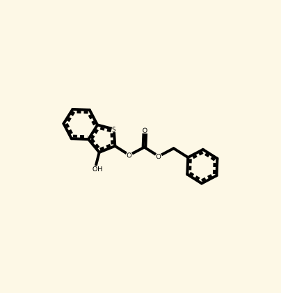 O=C(OCc1ccccc1)Oc1sc2ccccc2c1O